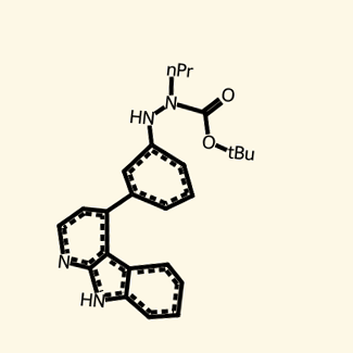 CCCN(Nc1cccc(-c2ccnc3[nH]c4ccccc4c23)c1)C(=O)OC(C)(C)C